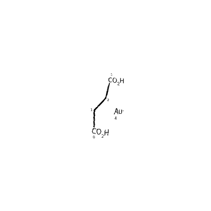 O=C(O)CCC(=O)O.[Au]